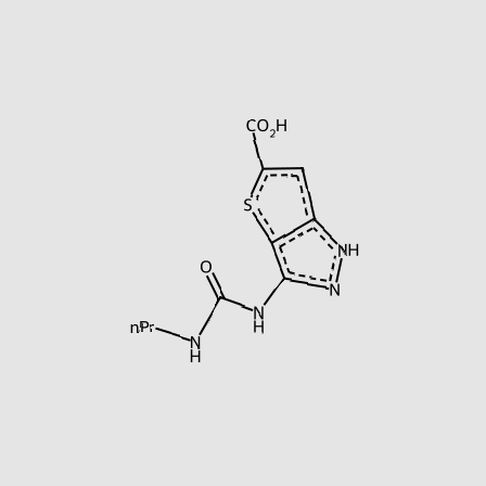 CCCNC(=O)Nc1n[nH]c2cc(C(=O)O)sc12